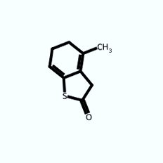 CC1=C2CC(=O)SC2=CCC1